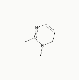 CC1=NC=CCN1C